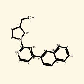 OCC1CCN(c2nccc(-c3ccc4ccccc4c3)n2)C1